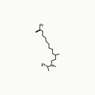 C=C(CCCCCCCCC(C)CCN(C)C(C)C(C)C)C(C)C